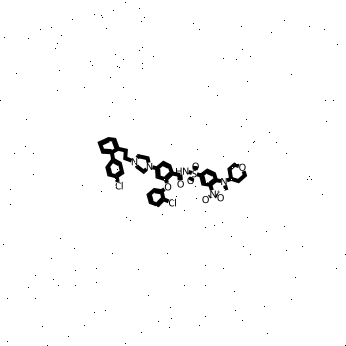 CN(c1ccc(S(=O)(=O)NC(=O)c2ccc(N3CCN(CCc4ccccc4-c4ccc(Cl)cc4)CC3)cc2Oc2ccccc2Cl)cc1[N+](=O)[O-])C1CCOCC1